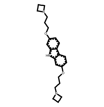 c1cc2c(cc1OCCCN1CCC1)[nH]c1cc(OCCCN3CCC3)ccc12